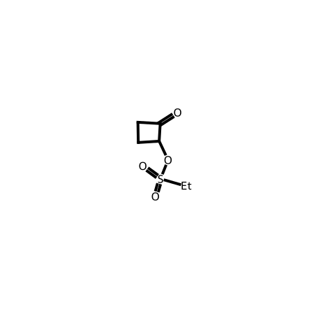 CCS(=O)(=O)OC1CCC1=O